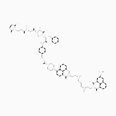 C[C@H](NC(=O)CNC(=O)CCN1C(=O)C=CC1=O)C(=O)N[C@@H](Cc1ccccc1)C(=O)Nc1ccc(COC(=O)N2CCN(c3ccc4c5c(cccc35)CN(CCN(C)CCCN(C)CCN3C(=O)c5cccc6cc([N+](=O)[O-])cc(c56)C3=O)C4=O)CC2)cc1